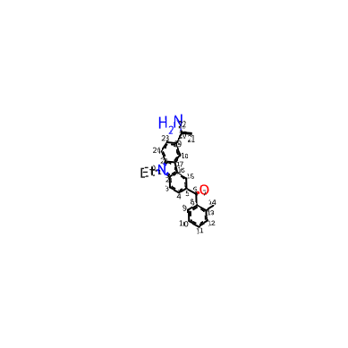 CCn1c2ccc(C(=O)c3ccccc3C)cc2c2cc(C(C)N)ccc21